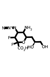 [N-]=[N+]=NC1C(N)C(C[C@H](O)CO)OC(F)(C(=O)O)C1F